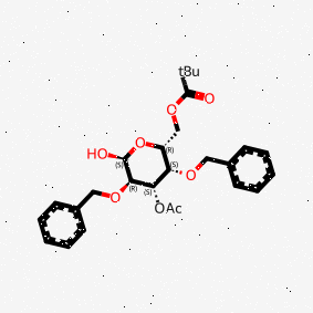 CC(=O)O[C@@H]1[C@@H](OCc2ccccc2)[C@@H](O)O[C@H](COC(=O)C(C)(C)C)[C@@H]1OCc1ccccc1